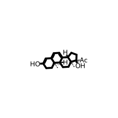 CC(=O)[C@@]1(O)CC[C@H]2C3=CC=C4C=C(O)CC[C@]4(C)[C@H]3CC[C@@]21C